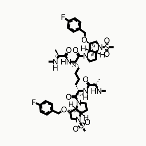 CN[C@@H](C)C(=O)N[C@@H](CCCC[C@H](NC(=O)[C@H](C)NC)C(=O)N1CC[C@@H]2[C@H]1[C@@H](OCc1ccc(F)cc1)CN2S(C)(=O)=O)C(=O)N1CC[C@@H]2[C@H]1[C@@H](OCc1ccc(F)cc1)CN2S(C)(=O)=O